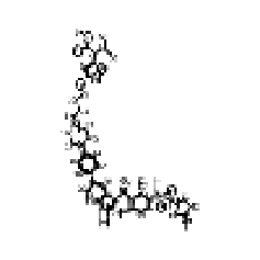 COC(=O)C(c1cc(OCCCCN2CCN(c3ccc(-c4cnc5[nH]cc(C(=O)c6c(F)ccc(NS(=O)(=O)N7CC[C@@H](F)C7)c6F)c5c4)cc3)CC2)no1)C(C)C